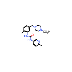 Cc1ccc(NC(=O)Nc2cc(CN3CCN(C(=O)O)CC3)ccc2C)cn1